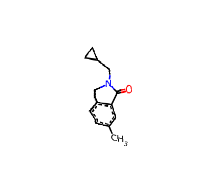 Cc1ccc2c(c1)C(=O)N(CC1CC1)C2